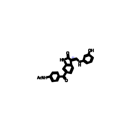 CC(=O)Nc1ccc(C(=O)c2ccc3c(c2)NC(=O)/C3=C/Nc2cccc(O)c2)cc1